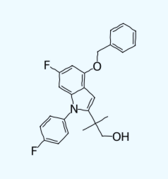 CC(C)(CO)c1cc2c(OCc3ccccc3)cc(F)cc2n1-c1ccc(F)cc1